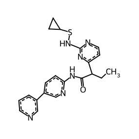 CCC(C(=O)Nc1ccc(-c2cccnc2)cn1)c1ccnc(NSC2CC2)n1